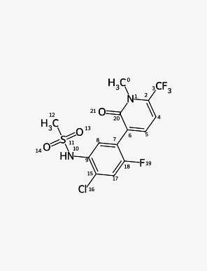 Cn1c(C(F)(F)F)ccc(-c2cc(NS(C)(=O)=O)c(Cl)cc2F)c1=O